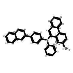 Nc1ccc2c(c(N(c3ccccc3)c3ccc(-c4ccc5ccccc5c4)cc3)cc3ccccc32)c1S